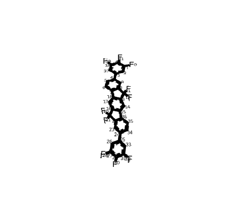 Fc1cc(-c2ccc3c(c2)C(F)(F)c2cc4c(cc2-3)C(F)(F)c2cc(-c3cc(F)c(F)c(F)c3)ccc2-4)cc(F)c1F